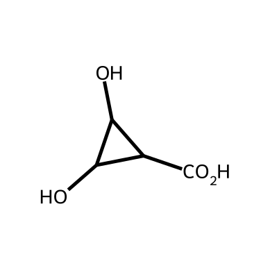 O=C(O)C1C(O)C1O